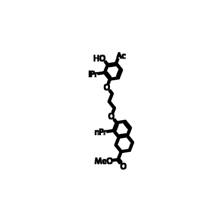 CCCc1c(OCCCOc2ccc(C(C)=O)c(O)c2C(C)C)ccc2c1CC(C(=O)OC)CC2